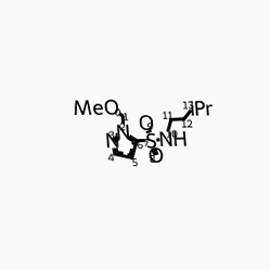 COCn1nccc1S(=O)(=O)NCCC(C)C